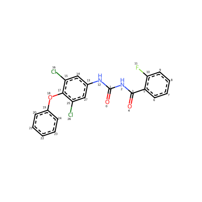 O=C(NC(=O)c1ccccc1F)Nc1cc(Cl)c(Oc2ccccc2)c(Cl)c1